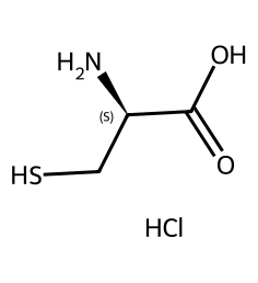 Cl.N[C@H](CS)C(=O)O